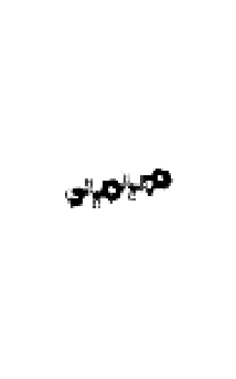 O=C(Nc1ccoc1)c1ccc(NC(=O)N2Cc3ccccc3C2)cc1